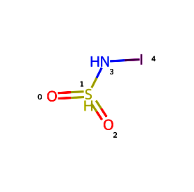 O=[SH](=O)NI